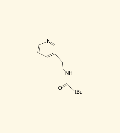 CC(C)(C)C(=O)NCCc1cccnc1